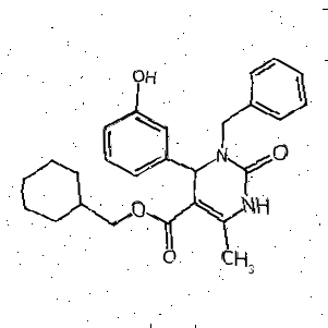 CC1=C(C(=O)OCC2CCCCC2)C(c2cccc(O)c2)N(Cc2ccccc2)C(=O)N1